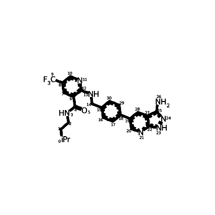 CC(C)CCNC(=O)c1cc(C(F)(F)F)cnc1NCc1ccc(-c2cnc3[nH]nc(N)c3c2)cc1